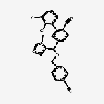 Cn1cncc1C(OCc1ccc(C#N)cn1)c1ccc(C#N)c(-c2cccc(Cl)c2Cl)c1